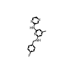 Cc1cc(NCc2ccc(F)cc2)nc(Nc2cnccn2)c1